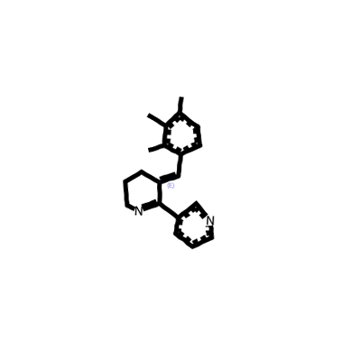 Cc1ccc(/C=C2\CCCN=C2c2cccnc2)c(C)c1C